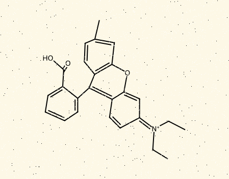 CC[N+](CC)=c1ccc2c(-c3ccccc3C(=O)O)c3ccc(C)cc3oc-2c1